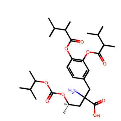 CC(C)C(C)OC(=O)O[C@@H](C)CC(N)(Cc1ccc(OC(=O)C(C)C(C)C)c(OC(=O)C(C)C(C)C)c1)C(=O)O